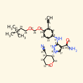 C#Cc1cc(Nc2nn([C@@H]3COCC[C@H]3C#N)cc2C(N)=O)ccc1OCOCC[Si](C)(C)C